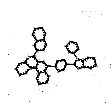 c1ccc(-n2c(-c3ccc(-c4cc5c(-c6ccc7ccccc7c6)nc6ccccc6c5c5ccccc45)cc3)nc3ccccc32)cc1